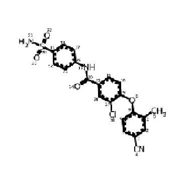 Cc1cc(C#N)ccc1Oc1ccc(C(=O)Nc2ccc(S(N)(=O)=O)cc2)cc1Cl